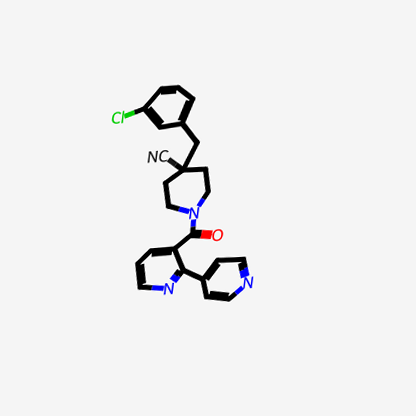 N#CC1(Cc2cccc(Cl)c2)CCN(C(=O)c2cccnc2-c2ccncc2)CC1